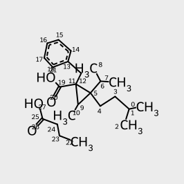 CC(C)CCC1(C(C)C)C(C)C1(Cc1ccccc1)C(=O)O.CCCC(=O)O